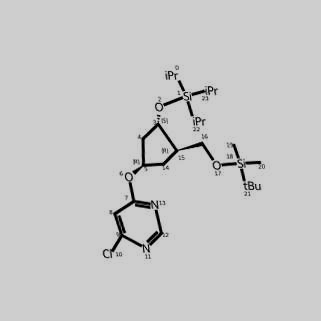 CC(C)[Si](O[C@H]1C[C@H](Oc2cc(Cl)ncn2)C[C@@H]1CO[Si](C)(C)C(C)(C)C)(C(C)C)C(C)C